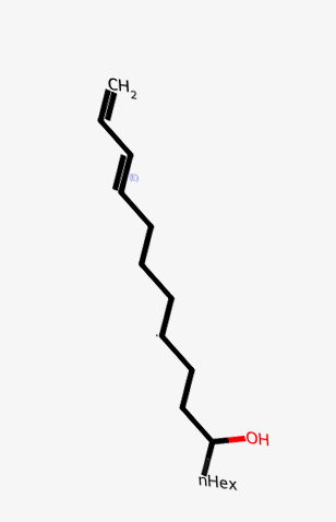 C=C/C=C/CCC[CH]CCC(O)CCCCCC